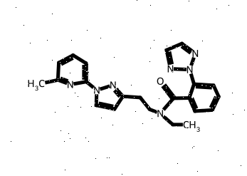 CCN(CCc1ccn(-c2cccc(C)n2)n1)C(=O)c1ccccc1-n1nccn1